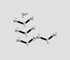 CC(=O)[CH-]C(C)=O.CC(=O)[CH-]C(C)=O.CC(=O)[CH-]C(C)=O.CC(=O)[CH-]C(C)=O.[Sn+4]